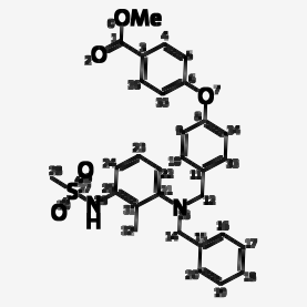 COC(=O)c1ccc(Oc2ccc(CN(Cc3ccccc3)c3cccc(NS(C)(=O)=O)c3C)cc2)cc1